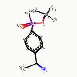 CC(N)c1ccc(P(C)(=O)O[Si](C)(C)C)cc1